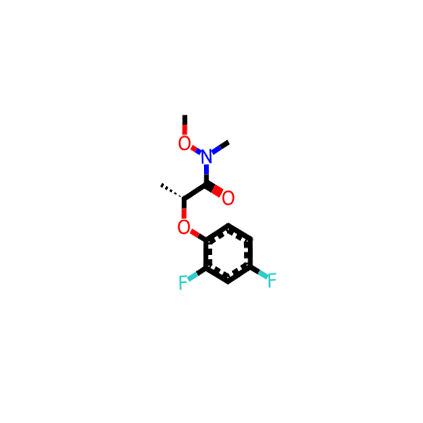 CON(C)C(=O)[C@@H](C)Oc1ccc(F)cc1F